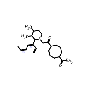 BC(=O)C1CCCC(C(=O)CN2CCC(B)C(B)C2/C(C=C)=C/C=C\C)CCC1